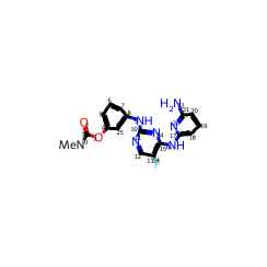 CNC(=O)Oc1cccc(Nc2ncc(F)c(Nc3cccc(N)n3)n2)c1